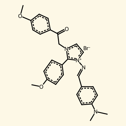 COc1ccc(C(=O)Cn2cc[n+](N=Cc3ccc(N(C)C)cc3)c2-c2ccc(OC)cc2)cc1.[Br-]